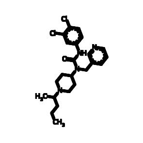 CCCC(C)N1CCC(N(Cc2cccnc2)C(=O)Nc2ccc(Cl)c(Cl)c2)CC1